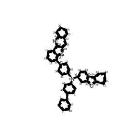 c1ccc(-c2ccc(N(c3ccc(-c4cccc5c4sc4cc6ccccc6nc45)cc3)c3ccc4c(c3)oc3ccccc34)cc2)cc1